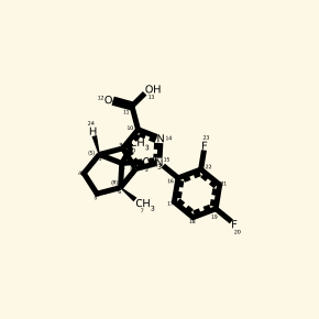 CC1(C)[C@@H]2CC[C@@]1(C)c1c2c(C(=O)O)nn1-c1ccc(F)cc1F